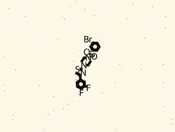 O=S(=O)(c1cccc(Br)c1)N1CCN(c2nc(-c3ccc(F)c(F)c3)cs2)CC1